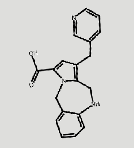 O=C(O)c1cc(Cc2cccnc2)c2n1Cc1ccccc1NC2